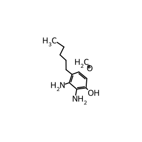 C=O.CCCCCc1ccc(O)c(N)c1N